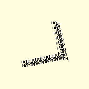 COC(=O)O.O=C(O)O.O=C(O)O.O=C(O)O.O=C(O)O.O=C(O)O.O=C(O)O.O=C(O)O.O=C(O)O.O=C(O)O.O=C(O)O.O=C(O)O.O=C(O)O.O=C(O)O.O=C(O)O